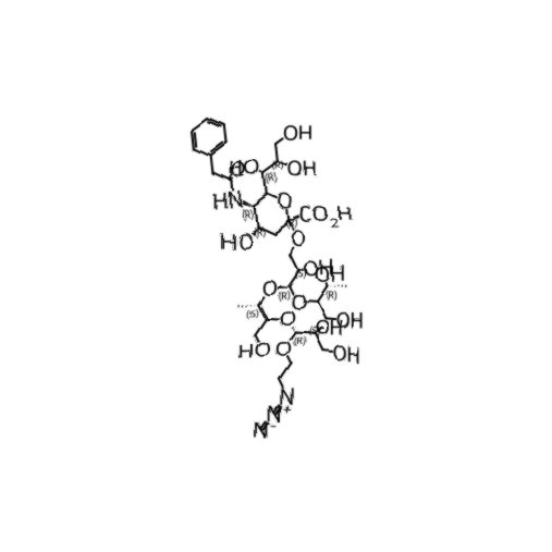 C[C@H](O[C@H](OC(CO)[C@@H](C)O)[C@@H](O)CO[C@]1(C(=O)O)C[C@@H](O)[C@@H](NC(=O)Cc2ccccc2)C([C@H](O)[C@H](O)CO)O1)C(CO)O[C@@H](OCCN=[N+]=[N-])[C@@H](O)CO